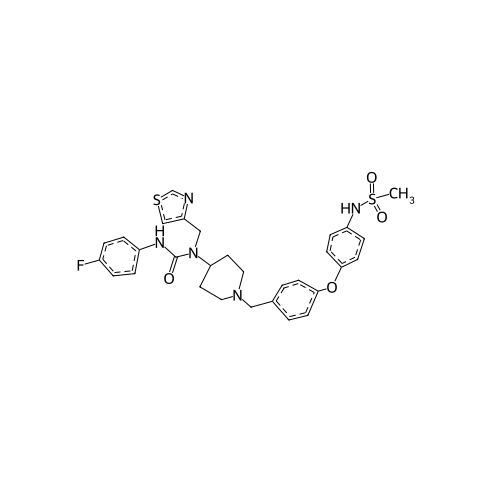 CS(=O)(=O)Nc1ccc(Oc2ccc(CN3CCC(N(Cc4cscn4)C(=O)Nc4ccc(F)cc4)CC3)cc2)cc1